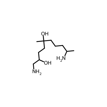 CC(N)CCCC(C)(O)CCC(O)CN